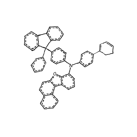 C1=CCCC(c2ccc(N(c3ccc(C4(c5ccccc5)c5ccccc5-c5ccccc54)cc3)c3cccc4c3oc3ccc5ccccc5c34)cc2)=C1